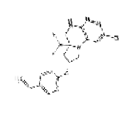 C=Cc1ccc(O[C@H]2CN3c4cc(Cl)nnc4NC[C@@]3(C(F)F)C2)nc1